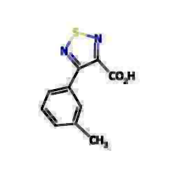 Cc1cccc(-c2nsnc2C(=O)O)c1